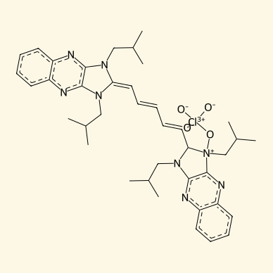 CC(C)CN1C(=CC=CC=CC2N(CC(C)C)c3nc4ccccc4nc3[N+]2(CC(C)C)O[Cl+3]([O-])([O-])[O-])N(CC(C)C)c2nc3ccccc3nc21